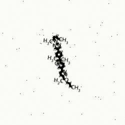 C=C(OCCCC)c1ccc(-c2ccc(C(C)(c3ccc(-c4cnc(-n5c(C)ccc5C)nc4)cc3)C(C)C)nc2)nn1